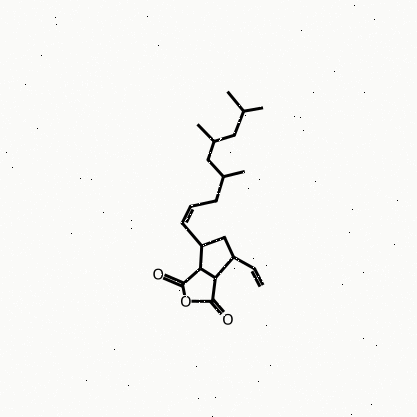 C=CC1CC(/C=C\CC(C)CC(C)CC(C)C)C2C(=O)OC(=O)C12